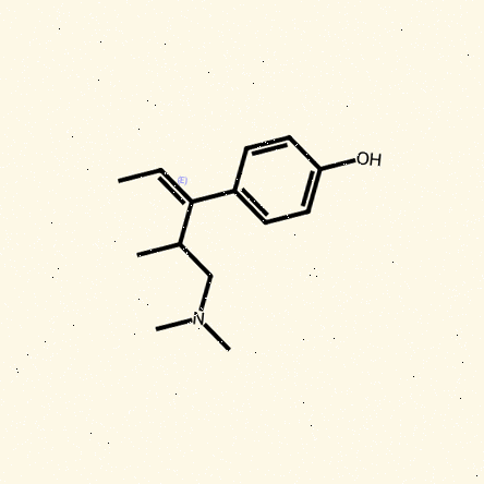 C/C=C(/c1ccc(O)cc1)C(C)CN(C)C